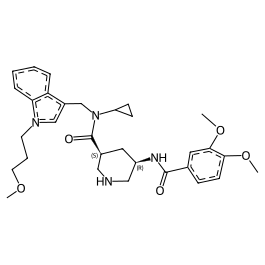 COCCCn1cc(CN(C(=O)[C@@H]2CNC[C@H](NC(=O)c3ccc(OC)c(OC)c3)C2)C2CC2)c2ccccc21